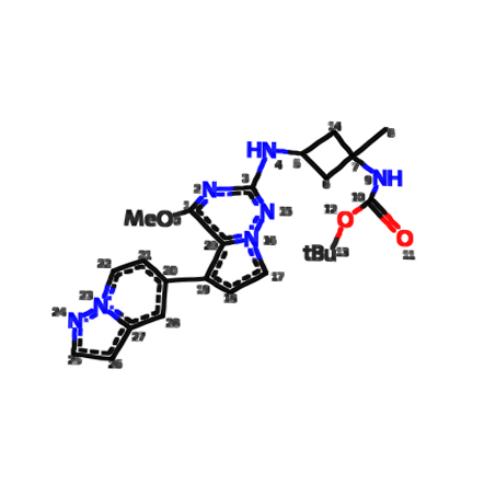 COc1nc(NC2CC(C)(NC(=O)OC(C)(C)C)C2)nn2ccc(-c3ccn4nccc4c3)c12